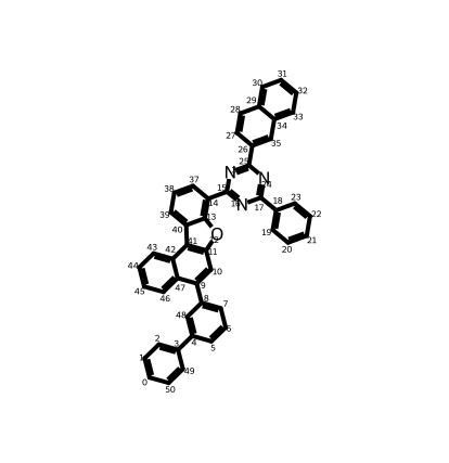 c1ccc(-c2cccc(-c3cc4oc5c(-c6nc(-c7ccccc7)nc(-c7ccc8ccccc8c7)n6)cccc5c4c4ccccc34)c2)cc1